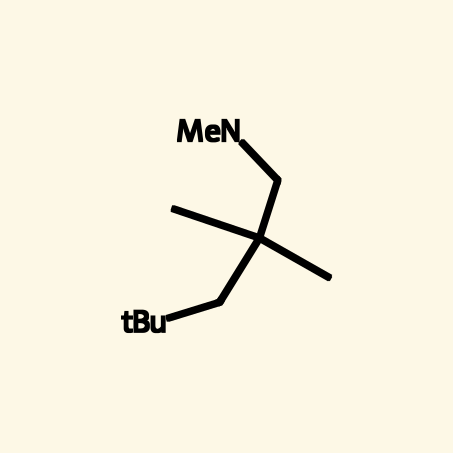 CNCC(C)(C)CC(C)(C)C